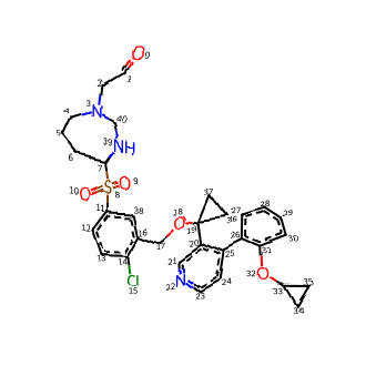 O=CCN1CCCC(S(=O)(=O)c2ccc(Cl)c(COC3(c4cnccc4-c4ccccc4OC4CC4)CC3)c2)NC1